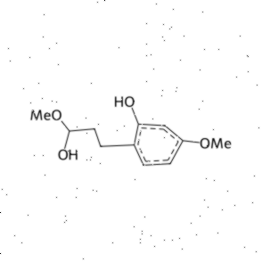 COc1ccc(CCC(O)OC)c(O)c1